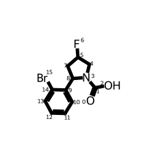 O=C(O)N1CC(F)CC1c1ccccc1Br